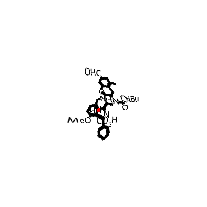 COc1ccc(CN(C(=O)C(Cc2c(C)cc(C=O)cc2C)NC(=O)OC(C)(C)C)C(C)c2nc(-c3ccccc3)c[nH]2)cc1C(=O)O